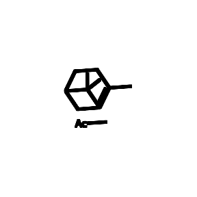 CC(C)=O.CC1=C2CC(CC1)C2(C)C